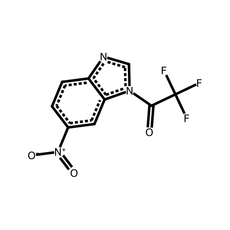 O=C(n1cnc2ccc([N+](=O)[O-])cc21)C(F)(F)F